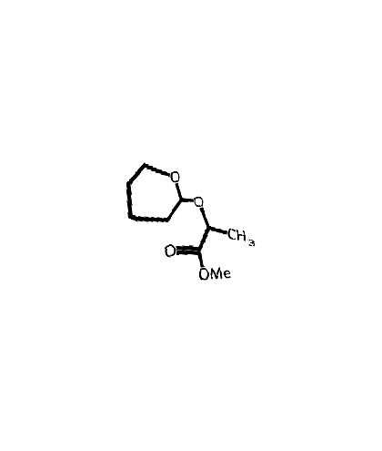 COC(=O)C(C)OC1CCCCO1